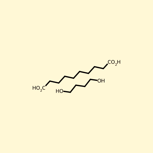 O=C(O)CCCCCCCCC(=O)O.OCCCCO